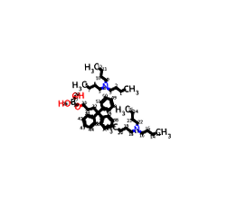 CCCCN(CCCC)CCCC.CCCCN(CCCC)CCCC.OB(O)OCCCC(c1ccccc1)(c1ccccc1)c1ccccc1